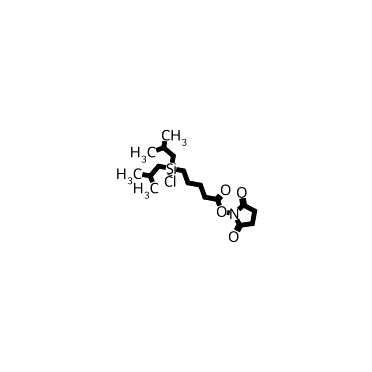 CC(C)C[Si](Cl)(CCCCC(=O)ON1C(=O)CCC1=O)CC(C)C